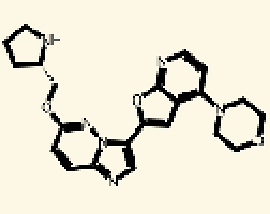 c1cc(N2CCOCC2)c2cc(-c3cnc4ccc(OC[C@@H]5CCCN5)nn34)oc2n1